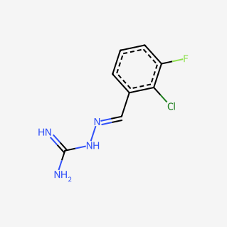 N=C(N)N/N=C/c1cccc(F)c1Cl